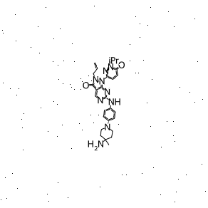 C=CCn1c(=O)c2cnc(Nc3ccc(N4CCC(C)(N)CC4)cc3)nc2n1-c1ccc(=O)n(C(C)C)n1